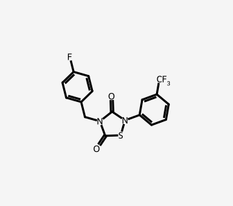 O=c1sn(-c2cccc(C(F)(F)F)c2)c(=O)n1Cc1ccc(F)cc1